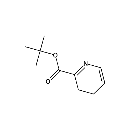 CC(C)(C)OC(=O)C1=NC=CCC1